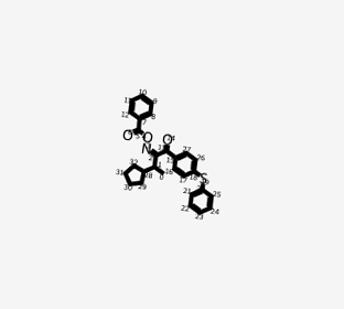 CC(C(=NOC(=O)c1ccccc1)C(=O)c1ccc(Sc2ccccc2)cc1)C1CCCC1